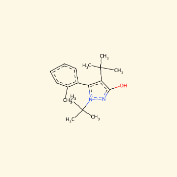 Cc1ccccc1-c1c(C(C)(C)C)c(O)nn1C(C)(C)C